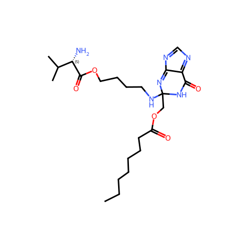 CCCCCCCC(=O)OCC1(NCCCCOC(=O)[C@@H](N)C(C)C)N=C2N=CN=C2C(=O)N1